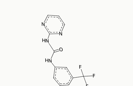 O=C(Nc1cccc(C(F)(F)F)c1)Nc1ncccn1